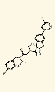 C[C@H](N(Cc1ccc(F)cc1)C(=O)CN1CO[C@]2(C(=O)Cc3cc(-c4cncc(F)c4)ccc32)C1=O)C(F)(F)F